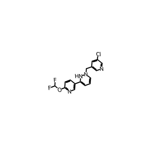 FC(F)Oc1ccc(C2=CC=CN(Cc3cncc(Cl)c3)N2)cn1